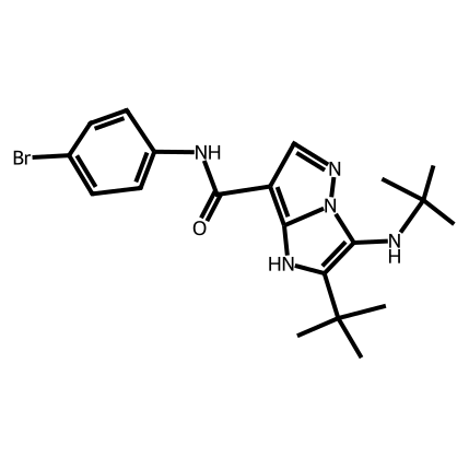 CC(C)(C)Nc1c(C(C)(C)C)[nH]c2c(C(=O)Nc3ccc(Br)cc3)cnn12